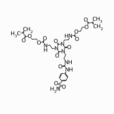 C=C(C)C(=O)OCCOC(=O)NCCn1c(=O)n(CCNC(=O)Nc2ccc(S(N)(=O)=O)cc2)c(=O)n(CCNC(=O)OCCOC(=O)C(=C)C)c1=O